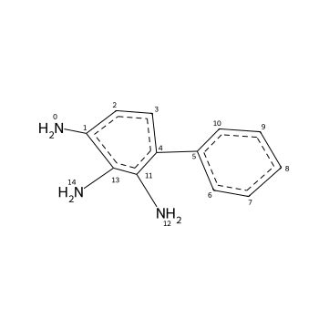 Nc1ccc(-c2ccccc2)c(N)c1N